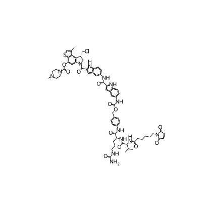 Cc1csc2c(OC(=O)N3CCN(C)CC3)cc3c(c12)[C@H](CCl)CN3C(=O)c1cc2cc(NC(=O)c3cc4cc(NC(=O)OCc5ccc(NC(=O)[C@H](CCCNC(N)=O)NC(=O)[C@@H](NC(=O)CCCCCN6C(=O)C=CC6=O)C(C)C)cc5)ccc4[nH]3)ccc2[nH]1